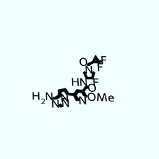 COc1ncc(-c2ccc3c(N)ncnn23)cc1C(=O)N[C@@H]1CN(C(=O)C2CC2(F)F)C[C@@H]1F